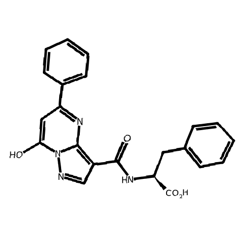 O=C(N[C@@H](Cc1ccccc1)C(=O)O)c1cnn2c(O)cc(-c3ccccc3)nc12